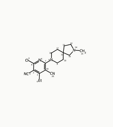 CCc1c(C#N)c(Cl)nc(N2CCC3(CCN(C)C3)CC2)c1C#N